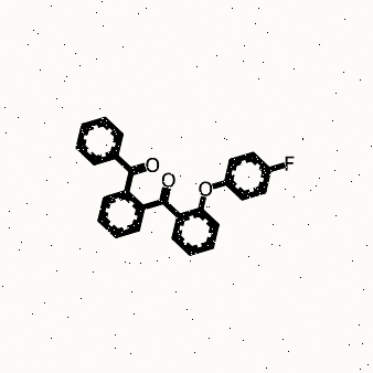 O=C(c1ccccc1)c1ccccc1C(=O)c1ccccc1Oc1ccc(F)cc1